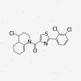 O=C(c1csc(-c2cccc(Cl)c2Cl)n1)N1CCC(Cl)C2CCCC=C21